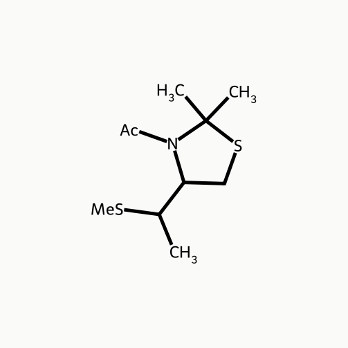 CSC(C)C1CSC(C)(C)N1C(C)=O